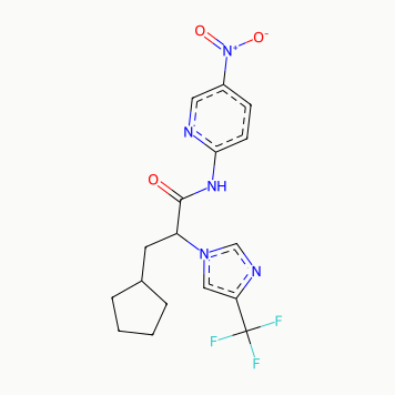 O=C(Nc1ccc([N+](=O)[O-])cn1)C(CC1CCCC1)n1cnc(C(F)(F)F)c1